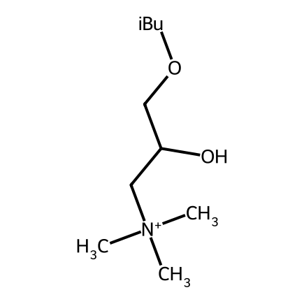 CCC(C)OCC(O)C[N+](C)(C)C